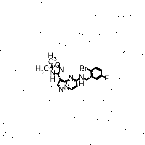 CC1(C)NC(c2cnn3ccc(NCc4cc(F)ccc4Br)nc23)=NO1